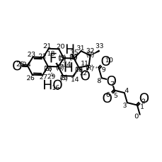 CC(=O)CCC(=O)OCC(=O)[C@]12O[C@@]13C[C@H](O)[C@@]1(F)[C@@H](CCC4=CC(=O)C=C[C@@]41C)[C@@H]3C[C@H]2C